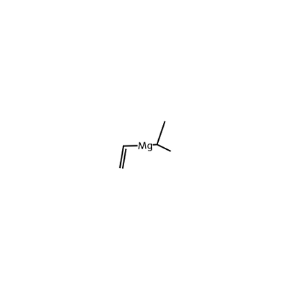 C=[CH][Mg][CH](C)C